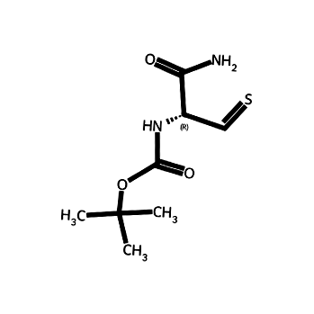 CC(C)(C)OC(=O)N[C@@H](C=S)C(N)=O